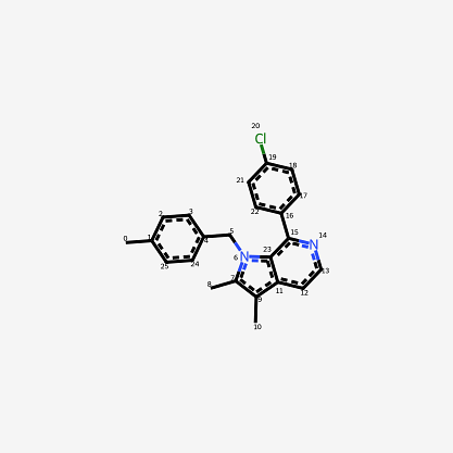 Cc1ccc(Cn2c(C)c(C)c3ccnc(-c4ccc(Cl)cc4)c32)cc1